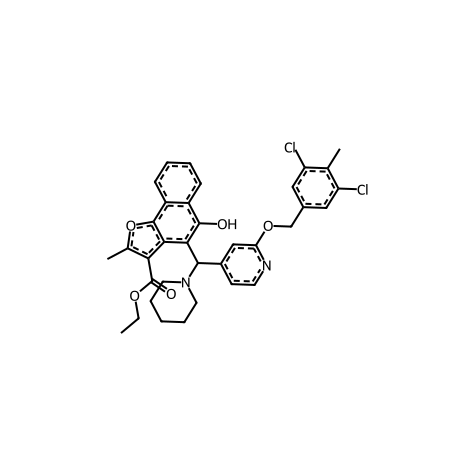 CCOC(=O)c1c(C)oc2c1c(C(c1ccnc(OCc3cc(Cl)c(C)c(Cl)c3)c1)N1CCCCC1)c(O)c1ccccc12